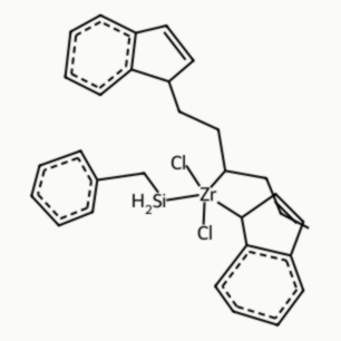 CCC[CH](CCC1C=Cc2ccccc21)[Zr]([Cl])([Cl])([SiH2]Cc1ccccc1)[CH]1C=Cc2ccccc21